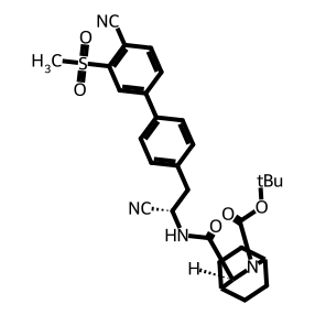 CC(C)(C)OC(=O)N1C2CCC(CC2)[C@H]1C(=O)N[C@H](C#N)Cc1ccc(-c2ccc(C#N)c(S(C)(=O)=O)c2)cc1